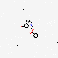 CCN(CCOC(=O)c1ccccc1)c1ccc(C=O)cc1